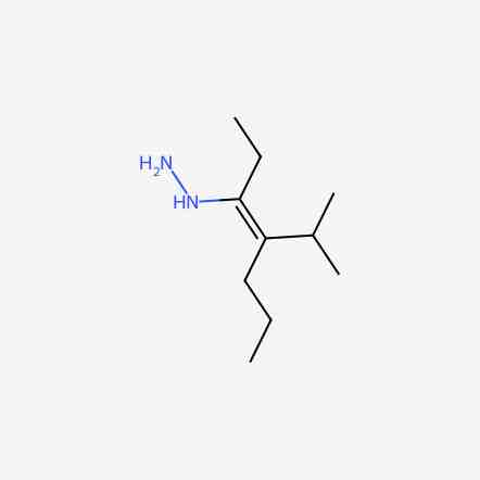 CCC/C(=C(/CC)NN)C(C)C